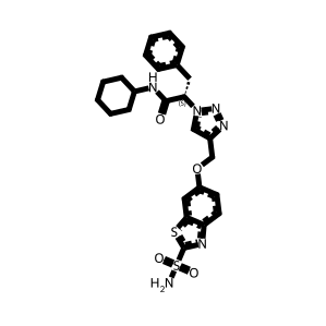 NS(=O)(=O)c1nc2ccc(OCc3cn([C@@H](Cc4ccccc4)C(=O)NC4CCCCC4)nn3)cc2s1